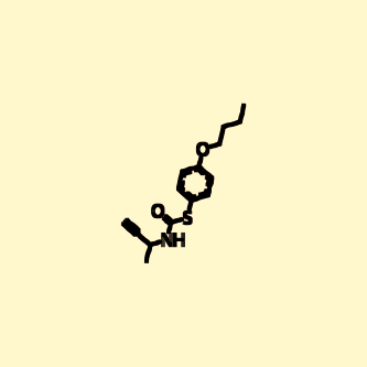 C#CC(C)NC(=O)Sc1ccc(OCCCC)cc1